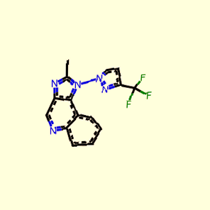 Cc1nc2cnc3ccccc3c2n1-n1ccc(C(F)(F)F)n1